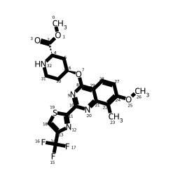 COC(=O)[C@@H]1C[C@@H](Oc2nc(-c3nc(C(F)(F)F)cs3)nc3c(C)c(OC)ccc23)CCN1